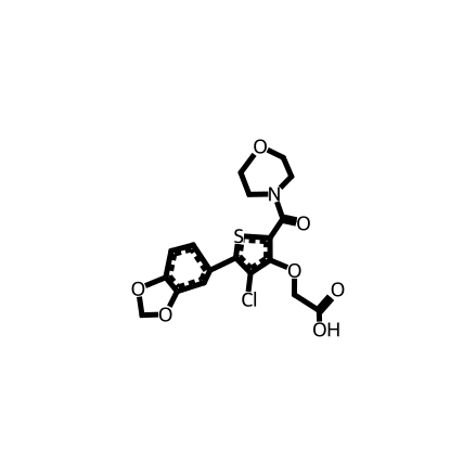 O=C(O)COc1c(C(=O)N2CCOCC2)sc(-c2ccc3c(c2)OCO3)c1Cl